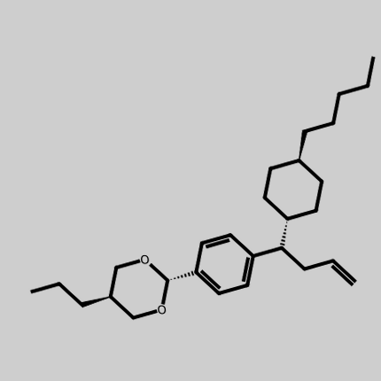 C=CCC(c1ccc([C@H]2OC[C@H](CCC)CO2)cc1)[C@H]1CC[C@H](CCCCC)CC1